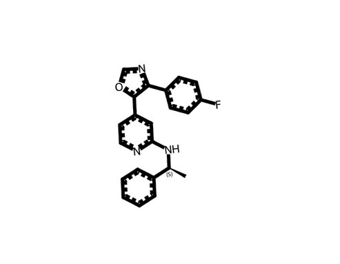 C[C@H](Nc1cc(-c2ocnc2-c2ccc(F)cc2)ccn1)c1ccccc1